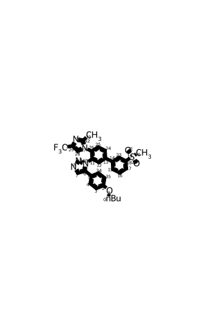 CCCCOc1ccc(-c2cnnn2-c2cc(-c3cccc(S(C)(=O)=O)c3)ccc2-n2cc(C(F)(F)F)nc2C)cc1